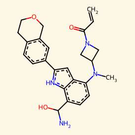 C=CC(=O)N1CC(N(C)c2ccc(C(N)O)c3[nH]c(-c4ccc5c(c4)COCC5)cc23)C1